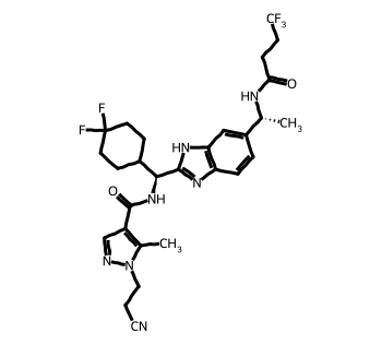 Cc1c(C(=O)N[C@H](c2nc3ccc([C@@H](C)NC(=O)CCC(F)(F)F)cc3[nH]2)C2CCC(F)(F)CC2)cnn1CCC#N